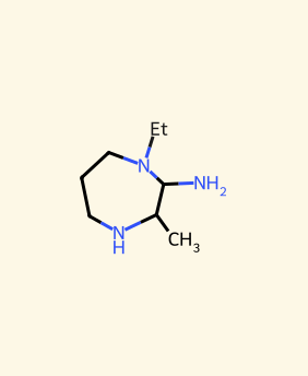 CCN1CCCNC(C)C1N